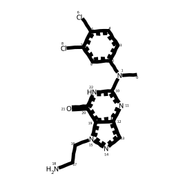 CN(c1ccc(Cl)c(Cl)c1)c1nc2cnn(CCN)c2c(=O)[nH]1